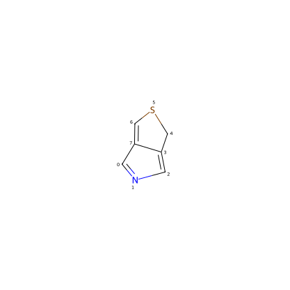 C1=NC=C2CSC=C12